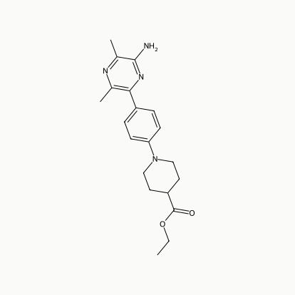 CCOC(=O)C1CCN(c2ccc(-c3nc(N)c(C)nc3C)cc2)CC1